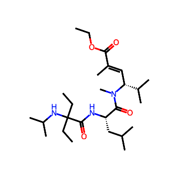 CCOC(=O)/C(C)=C/[C@H](C(C)C)N(C)C(=O)[C@H](CC(C)C)NC(=O)C(CC)(CC)NC(C)C